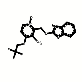 Cc1c(OCC(F)(F)F)cc[n+]([O-])c1CSc1nc2ccccc2[nH]1